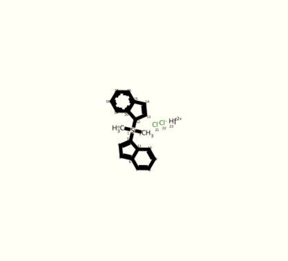 C[Si](C)(C1=CC=C2C=CC=CC21)C1C=Cc2ccccc21.[Cl-].[Cl-].[Hf+2]